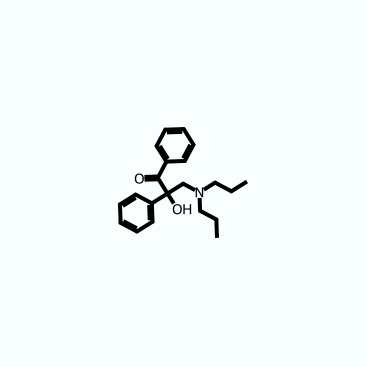 CCCN(CCC)CC(O)(C(=O)c1ccccc1)c1ccccc1